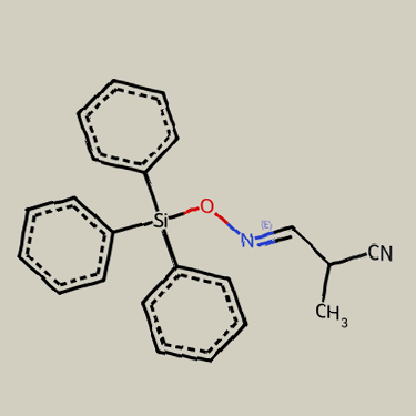 CC(C#N)/C=N/O[Si](c1ccccc1)(c1ccccc1)c1ccccc1